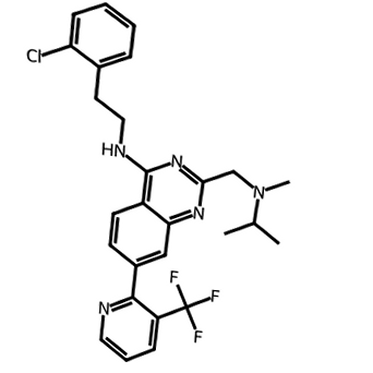 CC(C)N(C)Cc1nc(NCCc2ccccc2Cl)c2ccc(-c3ncccc3C(F)(F)F)cc2n1